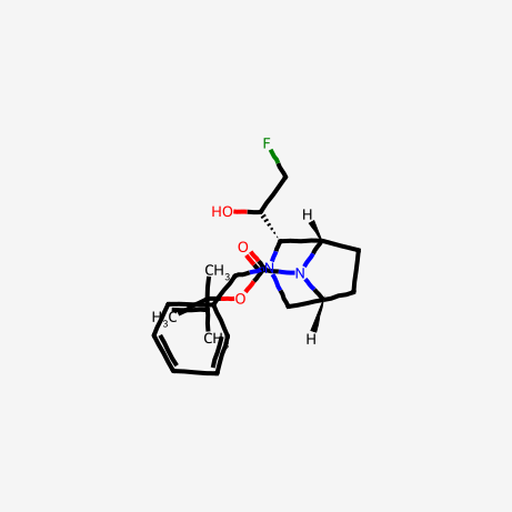 CC(C)(C)OC(=O)N1[C@@H]2CC[C@H]1[C@@H](C(O)CF)N(Cc1ccccc1)C2